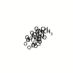 C[C@H]([C@H](C)N1CC(=O)N(COC(=O)[C@@H](N)CCC(=O)OCc2ccccc2)C(=O)C1)N1CC(=O)N(COC(=O)[C@@H](N)CCC(=O)OCc2ccccc2)C(=O)C1.Cl